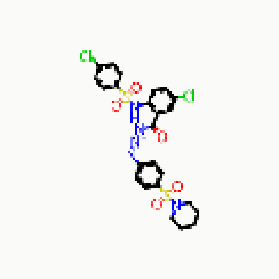 O=C(N=[N+]=Nc1ccc(S(=O)(=O)N2CCCCC2)cc1)c1cc(Cl)ccc1NS(=O)(=O)c1ccc(Cl)cc1